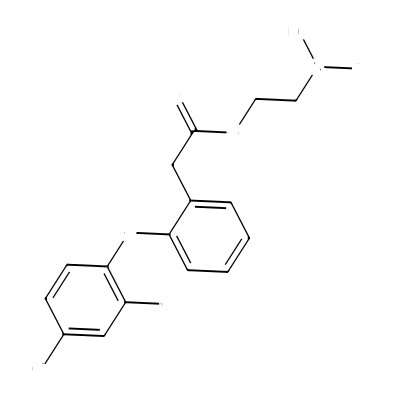 CCN(CC)CCOC(=O)Cc1ccccc1Oc1ccc(Cl)cc1Cl